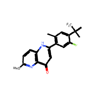 COc1ccc2[nH]c(-c3cc(F)c(C(C)(C)C(F)(F)F)cc3C)cc(=O)c2n1